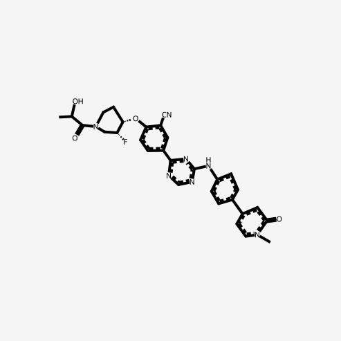 CC(O)C(=O)N1CC[C@H](Oc2ccc(-c3ncnc(Nc4ccc(-c5ccn(C)c(=O)c5)cc4)n3)cc2C#N)[C@H](F)C1